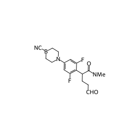 CNC(=O)C(CCC=O)c1c(F)cc(N2CCB(C#N)CC2)cc1F